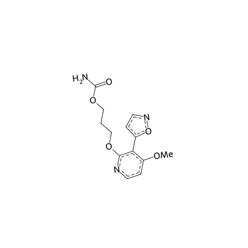 COc1ccnc(OCCCOC(N)=O)c1-c1ccno1